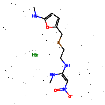 Br.CNC(=C[N+](=O)[O-])NCCSCc1ccc(NC)o1